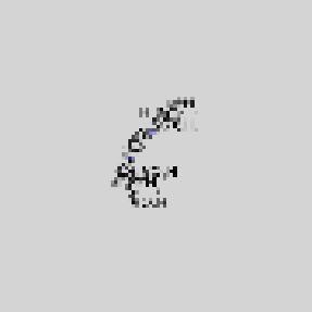 Cc1cc(C)c(OC/C=C/COc2ccc(/C=C/c3ccc(F)c4c(CCCC(=O)O)c(C)n(CC(=O)O)c34)cc2)c(C)c1